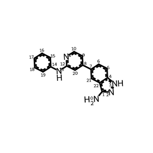 Nc1n[nH]c2ccc(-c3ccnc(Nc4ccccc4)c3)cc12